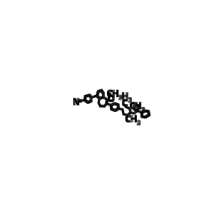 CCC(C)C(CC(=O)c1ccccc1)C(C)CCc1ccc(C2=C(OC)c3cccc(-c4ccc(C#N)cc4)c3CC=C2)cc1